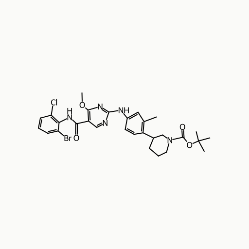 COc1nc(Nc2ccc(C3CCCN(C(=O)OC(C)(C)C)C3)c(C)c2)ncc1C(=O)Nc1c(Cl)cccc1Br